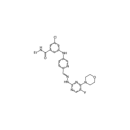 CCNC(=O)c1cc(Cl)cc(Nc2ccc(/C=N/Nc3ncc(F)c(N4CCOCC4)n3)nc2)c1